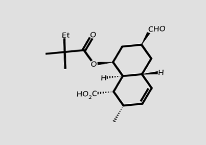 CCC(C)(C)C(=O)O[C@H]1C[C@@H](C=O)C[C@@H]2C=C[C@H](C)[C@H](C(=O)O)[C@@H]12